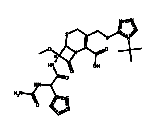 CO[C@]1(NC(=O)C(NC(N)=O)c2cccs2)C(=O)N2C(C(=O)O)=C(CSc3nncn3C(C)(C)C)CSC21